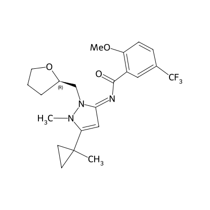 COc1ccc(C(F)(F)F)cc1C(=O)N=c1cc(C2(C)CC2)n(C)n1C[C@H]1CCCO1